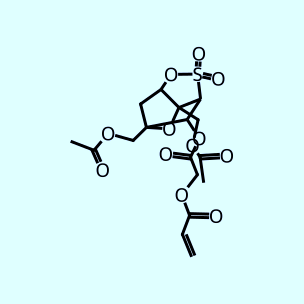 C=CC(=O)OCC(=O)OC1C2C3(COC(C)=O)OC1(COC(C)=O)CC3OS2(=O)=O